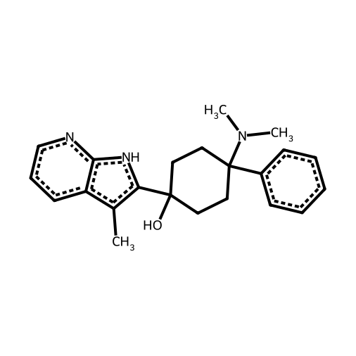 Cc1c(C2(O)CCC(c3ccccc3)(N(C)C)CC2)[nH]c2ncccc12